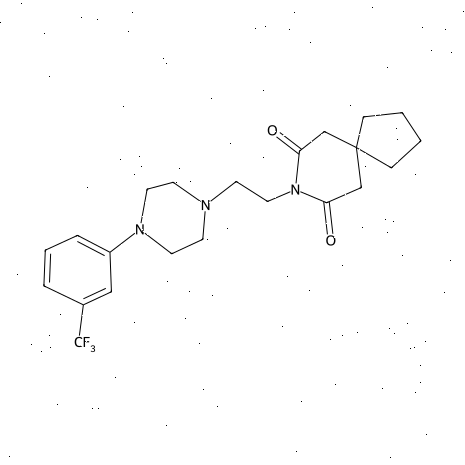 O=C1CC2(CCCC2)CC(=O)N1CCN1CCN(c2cccc(C(F)(F)F)c2)CC1